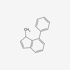 CC1C=Cc2cccc(-c3ccccc3)c21